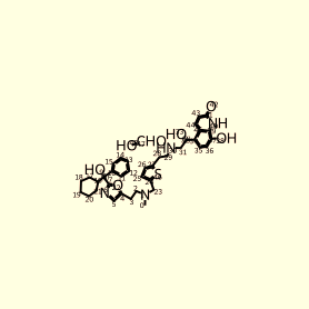 CN(CCc1cnc([C@](O)(c2ccccc2)C2CCCCC2)o1)Cc1ccc(CCNC[C@H](O)c2ccc(O)c3[nH]c(=O)ccc23)s1.O=CO